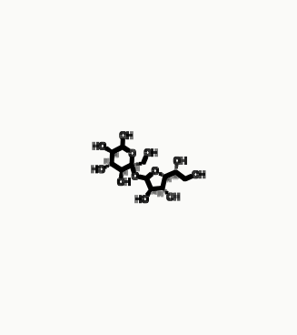 OC[C@@H](O)[C@H]1OC(O[C@]2(CO)OC(O)[C@H](O)[C@@H](O)[C@@H]2O)[C@H](O)[C@H]1O